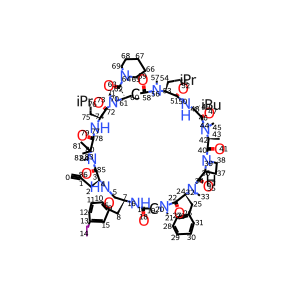 C#CC[C@@H]1NC(=O)[C@H](Cc2cccc(I)c2)NC(=O)CN(C)C(=O)[C@H](Cc2ccccc2)N(C)C(=O)[C@@H]2CCN2C(=O)[C@H](C)N(C)C(=O)[C@H]([C@@H](C)CC)NC(=O)[C@H](CC(C)C)N(C)C(=O)C[C@@H](C(=O)N2CCCCC2)N(C)C(=O)[C@H](CC(C)C)NC(=O)C(C)(C)N(C)C1=O